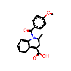 COc1ccc(C(=O)N2C3=CC=CCC3=C(C(=O)O)CC2C)cc1